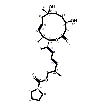 C/C(=C\C=C\[C@@H](C)COC(=O)N1CCCC1)[C@H]1OC(=O)C[C@H](O)CC[C@@](C)(O)C/C=C/[C@@H]1C